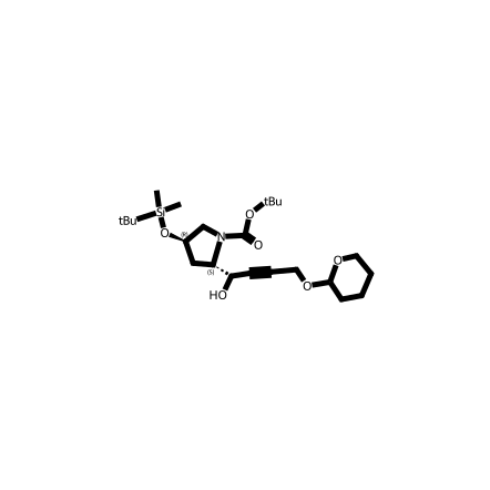 CC(C)(C)OC(=O)N1C[C@H](O[Si](C)(C)C(C)(C)C)C[C@H]1C(O)C#CCOC1CCCCO1